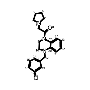 O=C(CN1CCCC1)N1CCN(Cc2cccc(Cl)c2)c2ccccc21